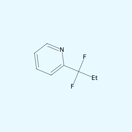 CCC(F)(F)c1ccccn1